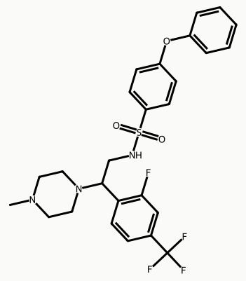 CN1CCN(C(CNS(=O)(=O)c2ccc(Oc3ccccc3)cc2)c2ccc(C(F)(F)F)cc2F)CC1